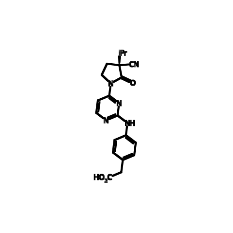 CC(C)[C@]1(C#N)CCN(c2ccnc(Nc3ccc(CC(=O)O)cc3)n2)C1=O